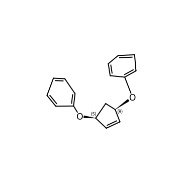 C1=C[C@H](Oc2ccccc2)C[C@@H]1Oc1ccccc1